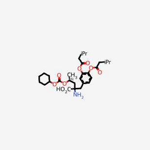 CC(C)CC(=O)Oc1ccc(CC(N)(C[C@H](C)OC(=O)OC2CCCCC2)C(=O)O)cc1OC(=O)CC(C)C